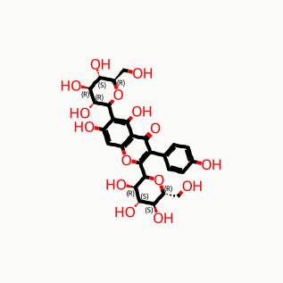 O=c1c(-c2ccc(O)cc2)c(C2O[C@H](CO)[C@@H](O)[C@H](O)[C@H]2O)oc2cc(O)c(C3O[C@H](CO)[C@@H](O)[C@H](O)[C@H]3O)c(O)c12